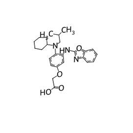 CC(C)CN(c1ccc(OCC(=O)O)cc1Nc1nc2ccccc2o1)C1CCCCC1